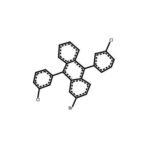 Clc1cccc(-c2c3ccccc3c(-c3cccc(Cl)c3)c3cc(Br)ccc23)c1